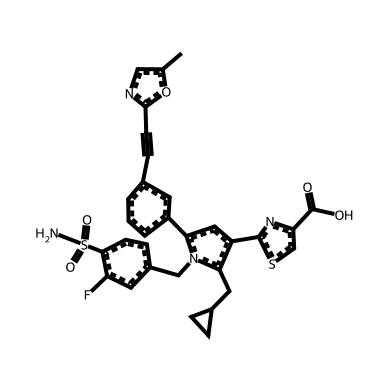 Cc1cnc(C#Cc2cccc(-c3cc(-c4nc(C(=O)O)cs4)c(CC4CC4)n3Cc3ccc(S(N)(=O)=O)c(F)c3)c2)o1